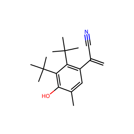 C=C(C#N)c1cc(C)c(O)c(C(C)(C)C)c1C(C)(C)C